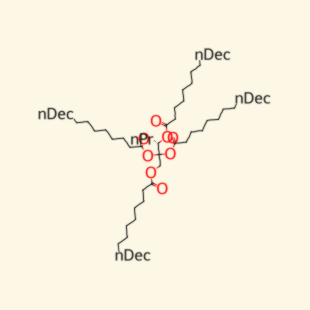 CCCCCCCCCCCCCCCCCC(=O)OCC(OC(=O)CCCCCCCCCCCCCCCCC)(OC(=O)CCCCCCCCCCCCCCCCC)[C@H](CCC)OC(=O)CCCCCCCCCCCCCCCCC